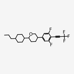 CCCC1CCC(C2CCC(c3cc(F)c(C#CC(F)(F)F)c(F)c3)CO2)CC1